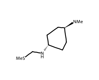 CN[C@H]1CC[C@H](NCSC)CC1